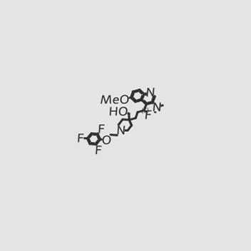 COc1ccc2ncc(N(C)C)c([C@@H](F)CCC3(CO)CCN(CCOc4c(F)cc(F)cc4F)CC3)c2c1